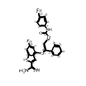 N=C(N)c1cc2c(OC(COC(=O)Nc3ccc(F)cc3)c3ccccc3)cc(F)cc2s1